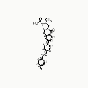 C[C@@H](CC(=O)O)CN1CCc2nc(-c3ccc(OCc4ccc(Cl)cc4)cc3)ncc2C1=O